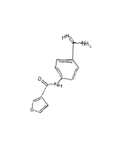 N=C(N)c1ccc(NC(=O)c2ccoc2)cc1